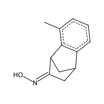 Cc1cccc2c1C1CC2CC1=NO